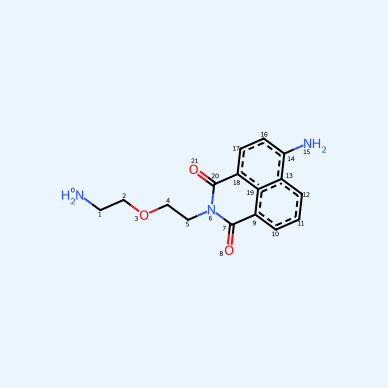 NCCOCCN1C(=O)c2cccc3c(N)ccc(c23)C1=O